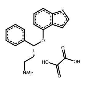 CNCC[C@@H](Oc1cccc2sccc12)c1ccccc1.O=C(O)C(=O)O